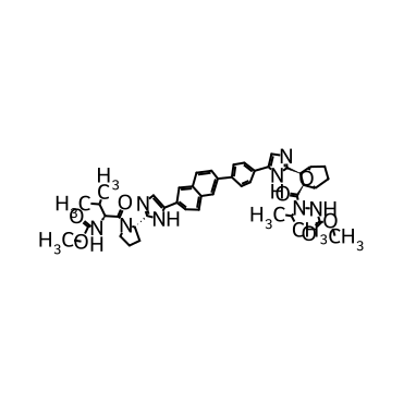 COC(=O)N[C@H](C(=O)N1CCC[C@H]1c1ncc(-c2ccc3cc(-c4ccc(-c5cnc([C@H]6C7CCC(O7)[C@H]6C(=O)N(NC(=O)OC)C(C)C)[nH]5)cc4)ccc3c2)[nH]1)C(C)C